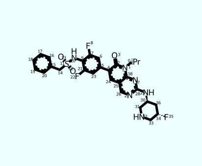 CC(C)n1c(=O)c(-c2cc(F)c(NS(=O)(=O)Cc3ccccc3)c(F)c2)cc2cnc(N[C@@H]3CNC[C@@H](F)C3)nc21